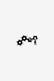 N#CN1CCCC1n1ccc(-c2cccc(-c3ccccc3)c2)n1